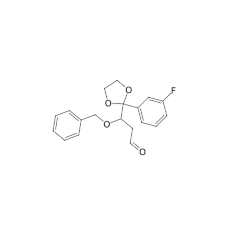 O=CCC(OCc1ccccc1)C1(c2cccc(F)c2)OCCO1